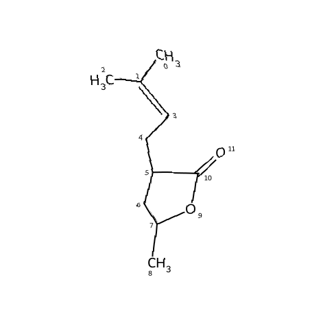 CC(C)=CCC1CC(C)OC1=O